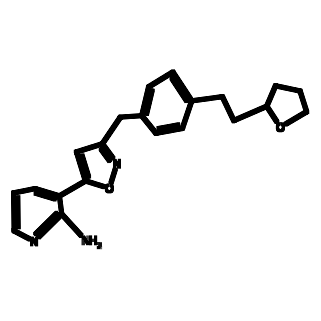 Nc1ncccc1-c1cc(Cc2ccc(CCC3CCCO3)cc2)no1